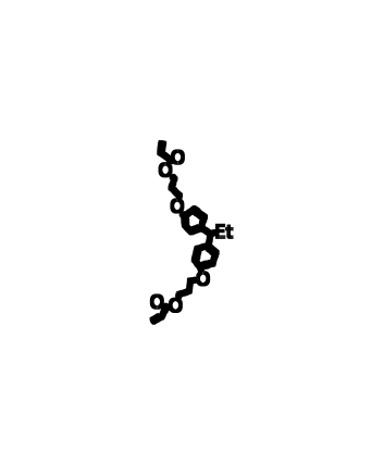 C=CC(=O)OCCCOc1ccc(C(CC)c2ccc(OCCCOC(=O)C=C)cc2)cc1